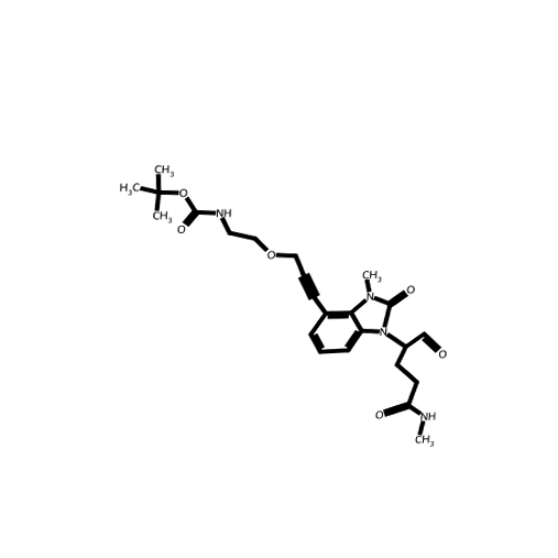 CNC(=O)CCC(C=O)n1c(=O)n(C)c2c(C#CCOCCNC(=O)OC(C)(C)C)cccc21